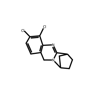 Clc1ccc2c(c1Cl)N=C1C3CCC(C3)N1C2